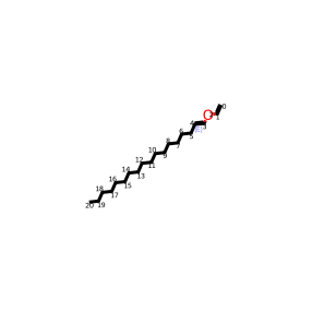 C=CO/C=C/CCCCCCCCCCCCCCCC